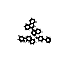 c1ccc(-c2ccc(N(c3ccc(-c4cc5ccccc5c5ccccc45)c4ccccc34)c3cccc4c3ccc3c5ccccc5sc43)cc2)cc1